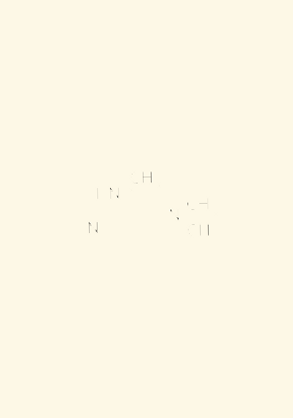 CCN(CC)CCCC(C)NC1CC[N]CC1